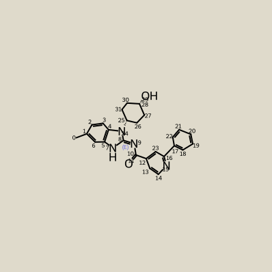 Cc1ccc2c(c1)[nH]/c(=N\C(=O)c1ccnc(-c3ccccc3)c1)n2[C@H]1CC[C@@H](O)CC1